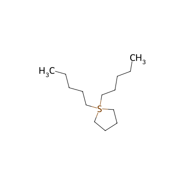 CCCCCS1(CCCCC)CCCC1